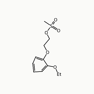 CCOc1ccccc1OCCOS(C)(=O)=O